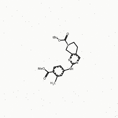 COC(=O)c1ccc(Nc2ncc3c(n2)CN(C(=O)OC(C)(C)C)CC3)cc1C